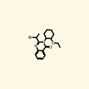 CCOC1CCCCC1n1c(C(C)Br)nc2ccccc2c1=O